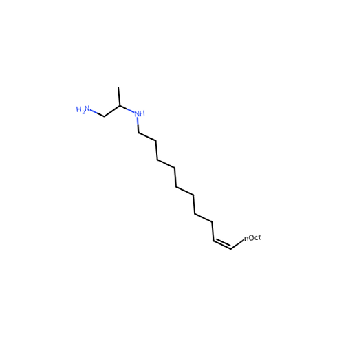 CCCCCCCC/C=C\CCCCCCCCNC(C)CN